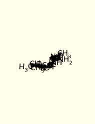 COc1cc2ncnc(Nc3ccc(Oc4nc(CC(=O)CCC(C)(C)C)cs4)cc3F)c2cc1N